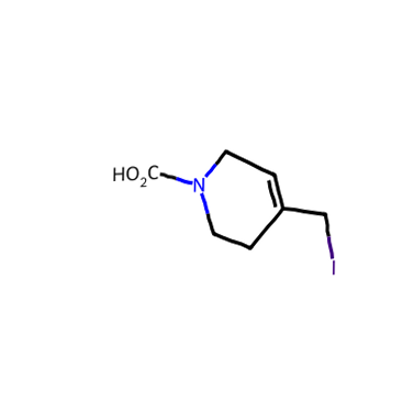 O=C(O)N1CC=C(CI)CC1